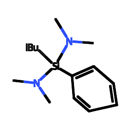 CCC(C)[Si](c1ccccc1)(N(C)C)N(C)C